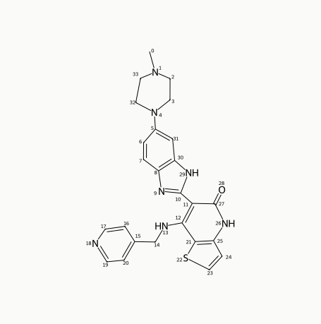 CN1CCN(c2ccc3nc(-c4c(NCc5ccncc5)c5sccc5[nH]c4=O)[nH]c3c2)CC1